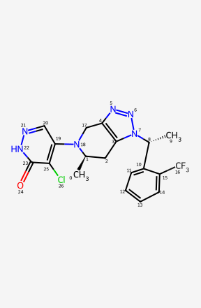 C[C@@H]1Cc2c(nnn2[C@H](C)c2ccccc2C(F)(F)F)CN1c1cn[nH]c(=O)c1Cl